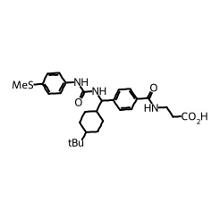 CSc1ccc(NC(=O)NC(c2ccc(C(=O)NCCC(=O)O)cc2)C2CCC(C(C)(C)C)CC2)cc1